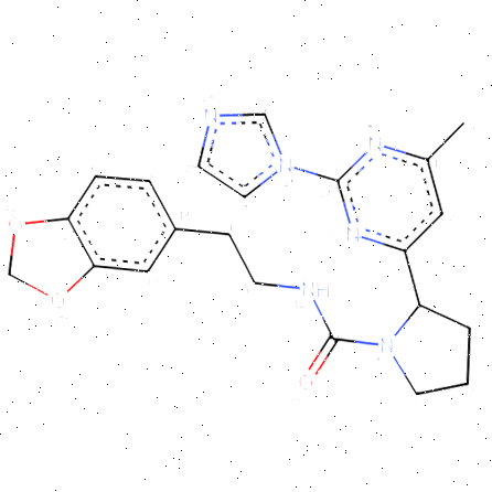 Cc1cc(C2CCCN2C(=O)NCCc2ccc3c(c2)OCO3)nc(-n2ccnc2)n1